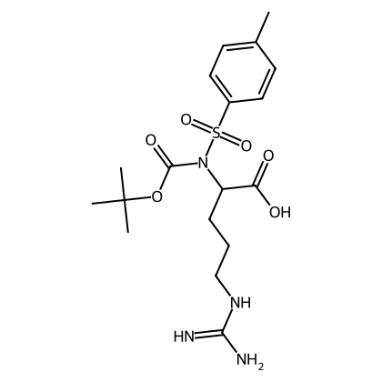 Cc1ccc(S(=O)(=O)N(C(=O)OC(C)(C)C)C(CCCNC(=N)N)C(=O)O)cc1